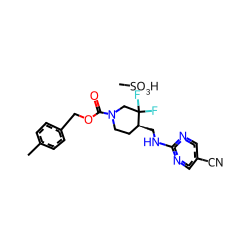 CS(=O)(=O)O.Cc1ccc(COC(=O)N2CC[C@H](CNc3ncc(C#N)cn3)C(F)(F)C2)cc1